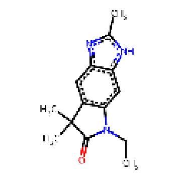 CCN1C(=O)C(C)(C)c2cc3nc(C)[nH]c3cc21